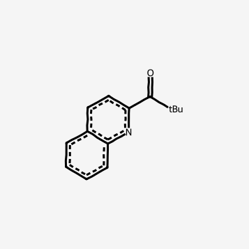 CC(C)(C)C(=O)c1ccc2ccccc2n1